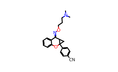 CN(C)CCCON=C1c2ccccc2OC2(c3ccc(C#N)cc3)CC12